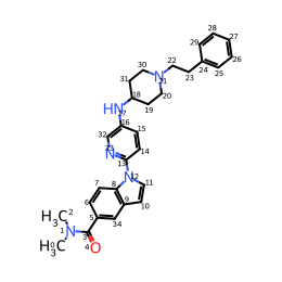 CN(C)C(=O)c1ccc2c(ccn2-c2ccc(NC3CCN(CCc4ccccc4)CC3)cn2)c1